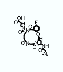 CN(C)CC(=O)N[C@H]1C[C@H]2COc3ccc(F)cc3C(=O)N(C)[C@H](C(=O)NCCC(=O)O)CCC(=O)N(C)CC(=O)N2C1